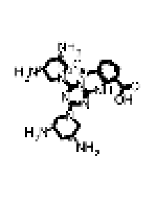 COc1cccc(C(=O)O)c1Nc1nc(N2C[C@H](N)C[C@H](N)C2)nc(N2C[C@H](N)C[C@H](N)C2)n1